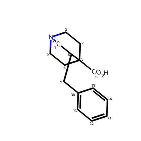 O=C(O)C12CCN(CC1)CC2Cc1ccccc1